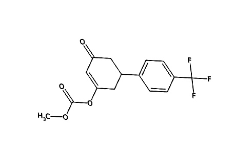 COC(=O)OC1=CC(=O)CC(c2ccc(C(F)(F)F)cc2)C1